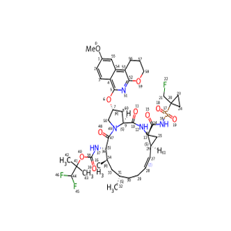 COc1ccc2c(O[C@@H]3C[C@H]4C(=O)N[C@]5(C(=O)NS(=O)(=O)C6(CF)CC6)C[C@H]5/C=C\CC[C@H](C)C[C@@H](C)[C@H](NC(=O)OC(C)(C)C(F)F)C(=O)N4C3)nc3c(c2c1)CCCO3